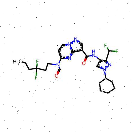 CCCC(F)(F)CCN(C=O)c1ccn2ncc(C(=O)Nc3cn(C4CCCCC4)nc3C(F)F)c2n1